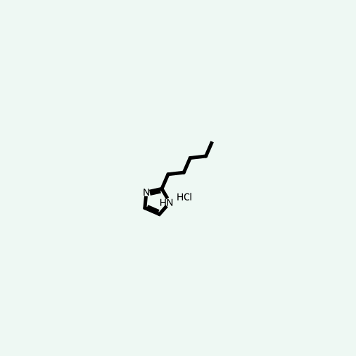 CCCCCc1ncc[nH]1.Cl